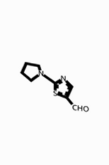 O=Cc1cnc(N2CCCC2)s1